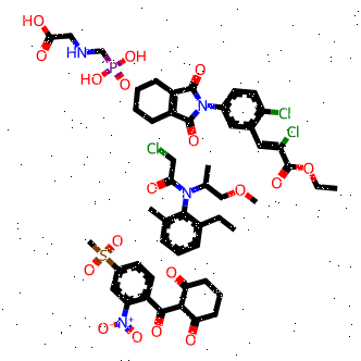 CCOC(=O)/C(Cl)=C/c1cc(N2C(=O)C3=C(CCCC3)C2=O)ccc1Cl.CCc1cccc(C)c1N(C(=O)CCl)C(C)COC.CS(=O)(=O)c1ccc(C(=O)C2C(=O)CCCC2=O)c([N+](=O)[O-])c1.O=C(O)CNCP(=O)(O)O